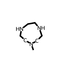 CN1CCNCCNCC1